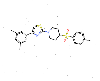 Cc1ccc(S(=O)(=O)C2CCN(c3nc(-c4cc(C)cc(C)c4)cs3)CC2)cc1